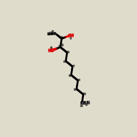 CCCCCCC(O)[C@H](O)CCCCCCCC(=O)O